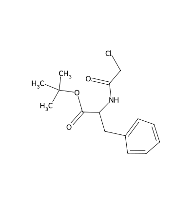 CC(C)(C)OC(=O)C(Cc1ccccc1)NC(=O)CCl